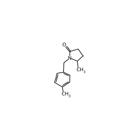 Cc1ccc(CN2C(=O)CCC2C)cc1